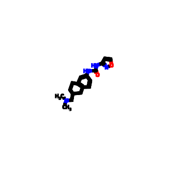 CN(C)CC1CCc2cc(NC(=O)Nc3ccon3)ccc2C1